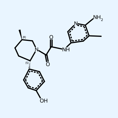 Cc1cc(NC(=O)C(=O)N2C[C@H](C)CC[C@H]2c2ccc(O)cc2)cnc1N